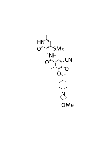 COC1CN([C@H]2CC[C@@H]([C@H]3COc4c(C#N)cc(C(=O)NCc5c(SC)cc(C)[nH]c5=O)c(C)c4O3)CC2)C1